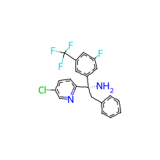 N[C@@](Cc1ccccc1)(c1cc(F)cc(C(F)(F)F)c1)c1ccc(Cl)cn1